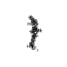 C=CC(=O)Nc1cc(Nc2nc(-c3ccnc(N4CCn5c(cc6c5CC(C)(C)C6)C4=O)c3CO)cnc2OC)ccc1N1CCN(C2CCN(c3cnc4[nH]c(C(F)(F)F)cc4c3)CC2)C[C@@H]1C